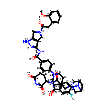 COc1ccccc1CC(=O)N1Cc2[nH]nc(NC(=O)c3ccc(N4CCC(CN5CC6CC(C5)N6c5cc6c(cc5F)C(=O)N(C5CCC(=O)NC5=O)C6=O)CC4)cc3)c2C1